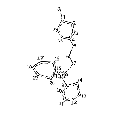 Cc1ccc(CCC[SiH](c2ccccc2)c2ccccc2)cc1